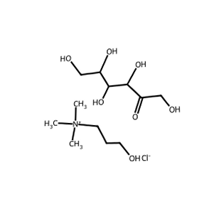 C[N+](C)(C)CCCO.O=C(CO)C(O)C(O)C(O)CO.[Cl-]